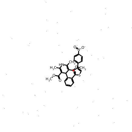 COC(=O)C1=C(C)NC(C)=C(C(=O)OC)C1c1ccccc1-c1nc(-c2ccc([N+](=O)[O-])cc2)cs1